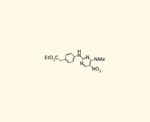 CCOC(=O)Cc1ccc(Nc2ncc([N+](=O)[O-])c(NC)n2)cc1